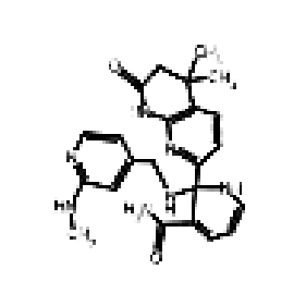 CNc1cc(CNC2(c3ccc4c(n3)NC(=O)CC4(C)C)NC=CC=C2C(N)=O)ccn1